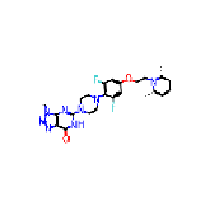 C[C@@H]1CCC[C@H](C)N1CCOc1cc(F)c(N2CCN(c3nc4c(nnn4C)c(=O)[nH]3)CC2)c(F)c1